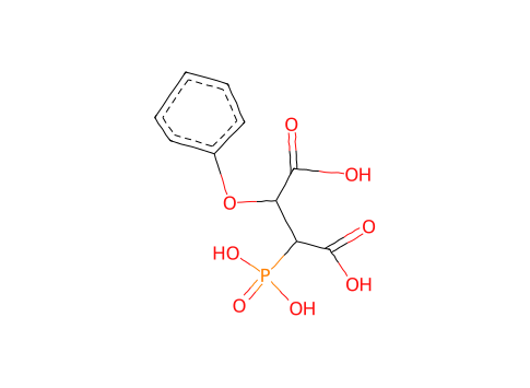 O=C(O)C(Oc1ccccc1)C(C(=O)O)P(=O)(O)O